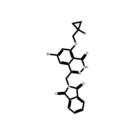 O=C1c2ccccc2C(=O)N1Cc1n[nH]c(=O)c2c(OCC3(F)CC3)cc(Br)cc12